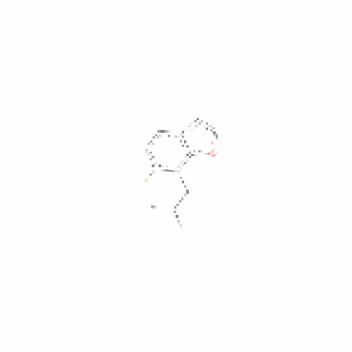 C[C](C)Cc1c(F)ccc2ccoc12